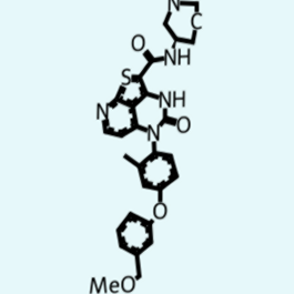 COCc1cccc(Oc2ccc(N3C(=O)Nc4c(C(=O)N[C@@H]5CCCN(C)C5)sc5nccc3c45)c(C)c2)c1